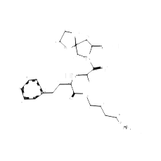 CC(NC(CCc1ccccc1)C(=O)OCCCCO[N+](=O)[O-])C(=O)N1CC2(CC1C(=O)O)SCCS2